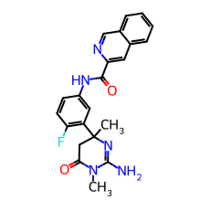 CN1C(=O)CC(C)(c2cc(NC(=O)c3cc4ccccc4cn3)ccc2F)N=C1N